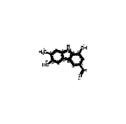 Cc1cc2[nH]c3c(O)cc(C=O)cc3c2cc1O